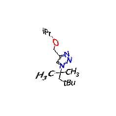 CC(C)OCc1cn(C(C)(C)CC(C)(C)C)nn1